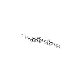 CCCCCCCCc1cnc(-c2ccc(OCCC[C@H]3CC[C@H](CCCCCCCC)CC3)cc2)nc1